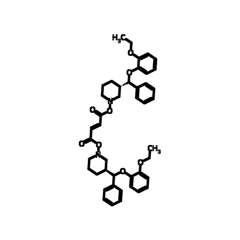 CCOc1ccccc1OC(c1ccccc1)[C@H]1CCCN(OC(=O)/C=C/C(=O)ON2CCC[C@H](C(Oc3ccccc3OCC)c3ccccc3)C2)C1